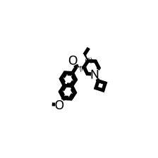 CC[C@H]1CCN(C2CCC2)C[C@@H]1C(=O)c1ccc2cc(OC)ccc2c1